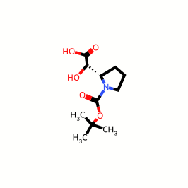 CC(C)(C)OC(=O)N1CCC[C@H]1C(O)C(=O)O